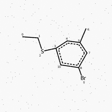 CCSc1cc(C)cc(Br)c1